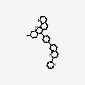 CC1C=Cc2c(nc3c(ccc4cccnc43)c2-c2ccc(-c3ccc4ccc(-c5ccccn5)nc4c3)cc2)C1